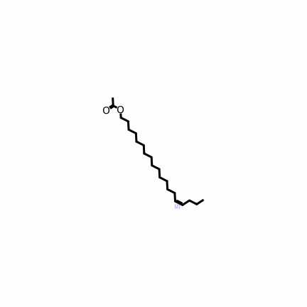 CCC/C=C\CCCCCCCCCCCCCCOC(C)=O